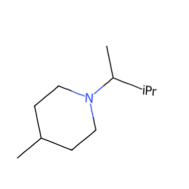 CC1CCN(C(C)C(C)C)CC1